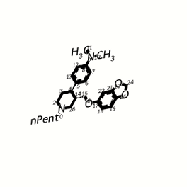 CCCCCN1CC[C@@H](c2ccc(N(C)C)cc2)[C@H](COc2ccc3c(c2)OCO3)C1